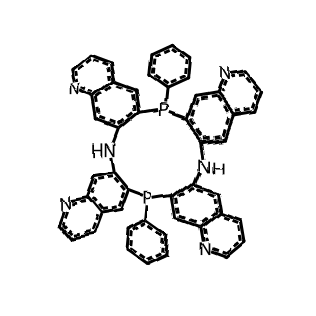 c1ccc(P2c3cc4cccnc4cc3Nc3cc4ncccc4cc3P(c3ccccc3)c3cc4ncccc4cc3Nc3cc4cccnc4cc32)cc1